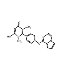 Cc1c(-c2ccc(Oc3nccn4cccc34)cc2)n(C)c(O)nc1=O